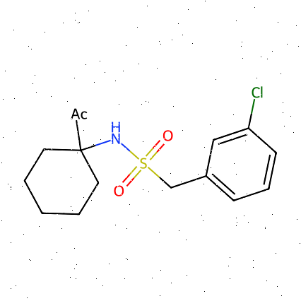 CC(=O)C1(NS(=O)(=O)Cc2cccc(Cl)c2)CCCCC1